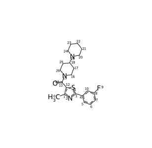 Cc1nc(-c2cccc(F)c2)sc1C(=O)N1CCC(N2CCCCC2)CC1